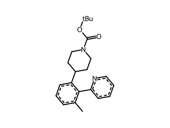 Cc1cccc(C2CCN(C(=O)OC(C)(C)C)CC2)c1-c1ccccn1